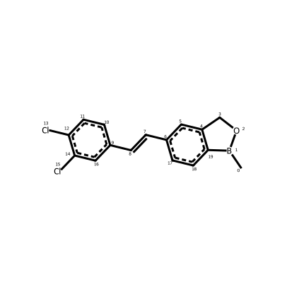 CB1OCc2cc(/C=C/c3ccc(Cl)c(Cl)c3)ccc21